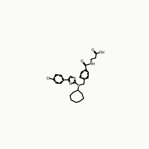 O=C(O)CCNC(=O)c1ccc(CN(c2nc(-c3ccc(Cl)cc3)cs2)C2CCCCCCC2)cc1